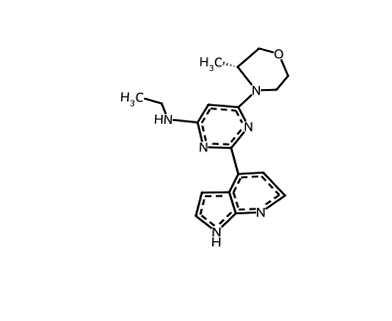 CCNc1cc(N2CCOC[C@H]2C)nc(-c2ccnc3[nH]ccc23)n1